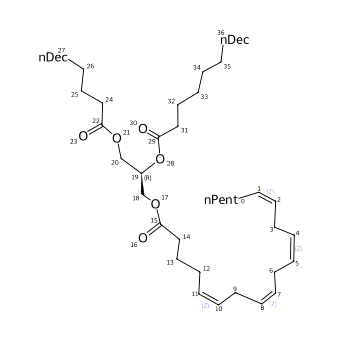 CCCCC/C=C\C/C=C\C/C=C\C/C=C\CCCC(=O)OC[C@@H](COC(=O)CCCCCCCCCCCCC)OC(=O)CCCCCCCCCCCCCCC